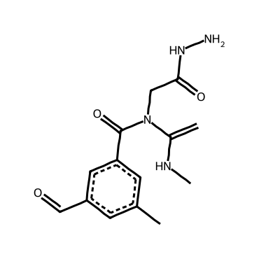 C=C(NC)N(CC(=O)NN)C(=O)c1cc(C)cc(C=O)c1